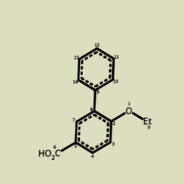 CCOc1ccc(C(=O)O)cc1-c1ccccc1